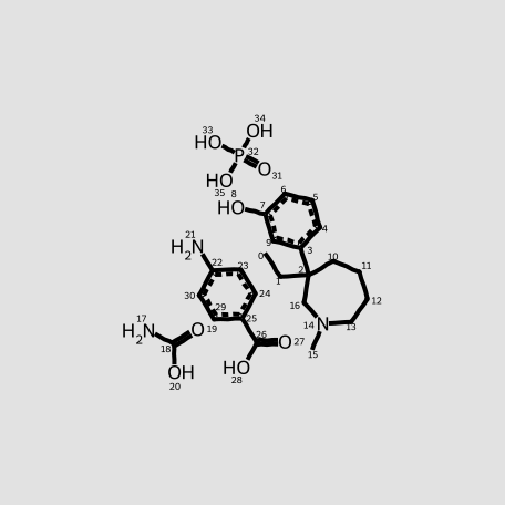 CCC1(c2cccc(O)c2)CCCCN(C)C1.NC(=O)O.Nc1ccc(C(=O)O)cc1.O=P(O)(O)O